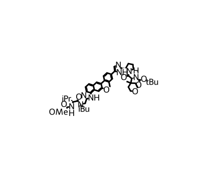 CC[C@H](C)N(Cc1nc2ccc3cc4c(cc3c2[nH]1)OCc1cc(-c2cnc([C@@H]3CC[C@H](C)N3C(=O)[C@@H](NC(=O)OC(C)(C)C)C3(C)CCOCC3)[nH]2)ccc1-4)C(=O)[C@@H](NC(=O)OC)C(C)C